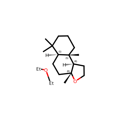 CC1(C)CCC[C@]2(C)[C@H]3CCO[C@]3(C)CC[C@@H]12.CCOCC